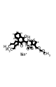 CCCCC1(CCCC)C(=O)C(C2=NS(=O)(=O)c3c(COCOC)csc3N2)=C([O-])c2ccccc21.[Na+]